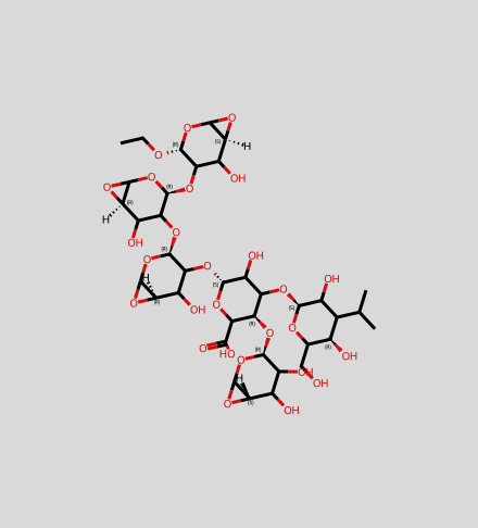 CCO[C@@H]1OC2O[C@H]2C(O)C1O[C@@H]1OC2O[C@@H]2C(O)C1O[C@@H]1OC2O[C@@H]2C(O)C1O[C@H]1OC(C(=O)O)[C@H](O[C@@H]2OC3O[C@H]3C(O)C2O)C(O[C@@H]2OC(CO)[C@H](O)C(C(C)C)C2O)C1O